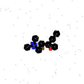 c1ccc(-c2ccc(-c3cc(-c4cccc5c4sc4cccc(-c6nc(-c7ccccc7)nc(-c7ccccc7)n6)c45)cc4oc5ccccc5c34)cc2)cc1